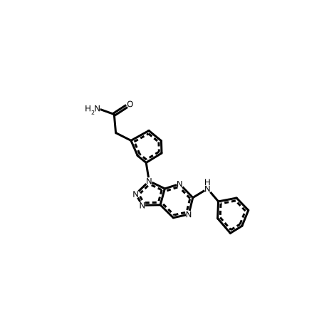 NC(=O)Cc1cccc(-n2nnc3cnc(Nc4ccccc4)nc32)c1